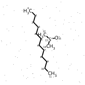 CCCCCCCCCCCC.C[S+](C)[O-]